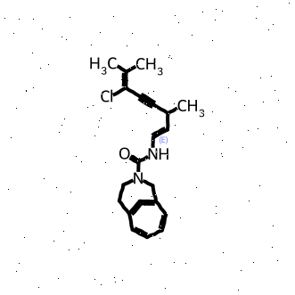 CC(C)=C(Cl)C#CC(C)/C=C/NC(=O)N1CCC2=C=C(C=CC=C2)C1